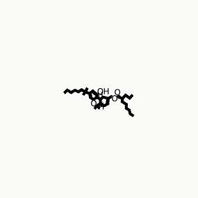 CCCCCCC(CCC)C(=O)OCC1=CC[C@H]2C(C1)[C@@H]1C(O)=CC(C(C)(C)CCCCCC)=CC1OC2(C)C